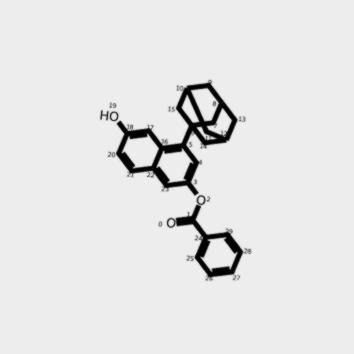 O=C(Oc1cc(C23CC4CC(CC(C4)C2)C3)c2cc(O)ccc2c1)c1ccccc1